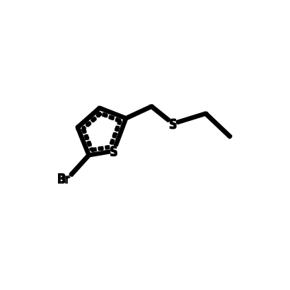 CCSCc1ccc(Br)s1